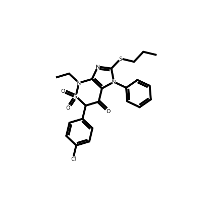 CCCSc1nc2c(n1-c1ccccc1)C(=O)C(c1ccc(Cl)cc1)S(=O)(=O)N2CC